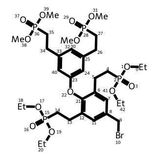 CCOP(=O)(CCc1cc(CBr)cc(CCP(=O)(OCC)OCC)c1Oc1cc(CCP(=O)(OC)OC)cc(CCP(=O)(OC)OC)c1)OCC